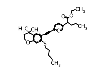 CCCCCSc1cc2c(cc1C#Cc1ccc(C(CCC)C(=O)OCC)cc1)C(C)(C)CCO2